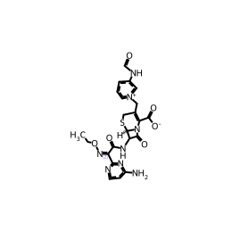 CCO/N=C(\C(=O)NC1C(=O)N2C(C(=O)[O-])=C(C[n+]3cccc(NC=O)c3)CS[C@H]12)c1nccc(N)n1